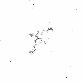 C=N/C(CCCCC)=C(/C)CCCCC